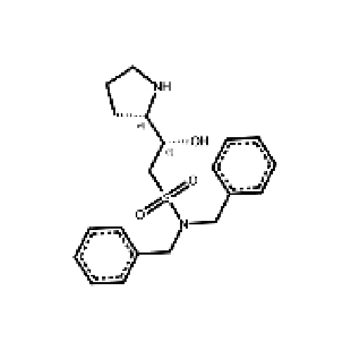 O=S(=O)(C[C@@H](O)[C@@H]1CCCN1)N(Cc1ccccc1)Cc1ccccc1